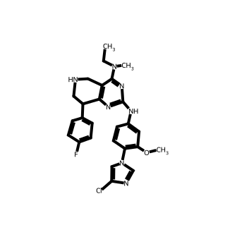 CCN(C)c1nc(Nc2ccc(-n3cnc(Cl)c3)c(OC)c2)nc2c1CNCC2c1ccc(F)cc1